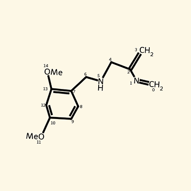 C=NC(=C)CNCc1ccc(OC)cc1OC